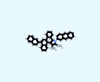 Cc1c(C)n(-c2ccc3cc4ccccc4cc3c2)c2c3ccccc3c3cc(-c4ccc5ccccc5c4)c4ccccc4c3c12